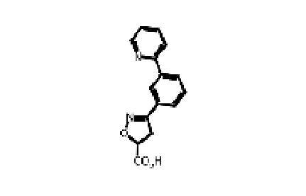 O=C(O)C1CC(c2cccc(-c3ccccn3)c2)=NO1